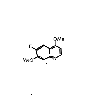 COc1cc2nccc(OC)c2cc1F